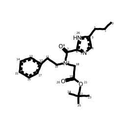 CCCc1cnc(C(=O)N(CCc2ccccc2)CC(=O)OC(C)(C)C)[nH]1